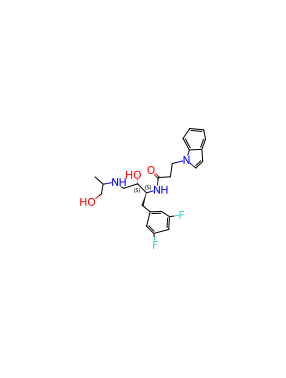 CC(CO)NC[C@H](O)[C@H](Cc1cc(F)cc(F)c1)NC(=O)CCn1ccc2ccccc21